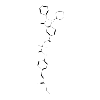 CCOC(=O)/C=C/c1ccc(NC(=O)C(C)(C)NC(=O)c2ccc3c(c2)c(=O)n(-c2ccccc2)n3C2CCCCC2)cc1